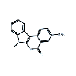 COc1ccc2c(c1)c(=O)[nH]c1c2c2ccccc2n1C